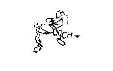 CC(=O)c1cc2c(/C(C)=C/C(=O)N3CCN(c4ccccc4)CC3)ccc(OC(C)c3ccccc3)c2o1